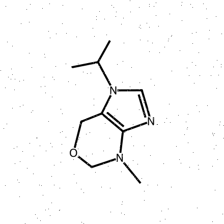 CC(C)n1cnc2c1COCN2C